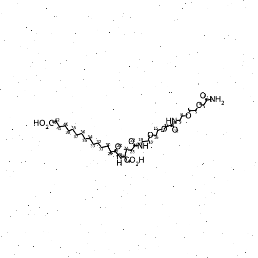 NC(=O)COCCOCCNC(=O)COCCOCCNC(=O)CCC(NC(=O)CCCCCCCCCCCCCCC(=O)O)C(=O)O